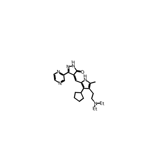 CCN(CC)CCc1c(C)[nH]c(C=C2C(=O)NN=C2c2cnccn2)c1C1CCCC1